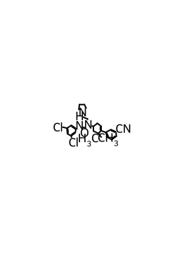 CC1(C)CC(N(CCN2CCCC2)C(=O)Nc2cc(Cl)cc(Cl)c2)CC=C1c1cccc(C#N)c1